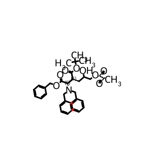 CC(C)(C)OC(=O)[C@@H](CC(O)COS(C)(=O)=O)[C@@H](C(=O)OCc1ccccc1)N(Cc1ccccc1)Cc1ccccc1